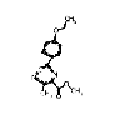 CCOc1ccc(-c2cnc(C)c(C(=O)OC)n2)cc1